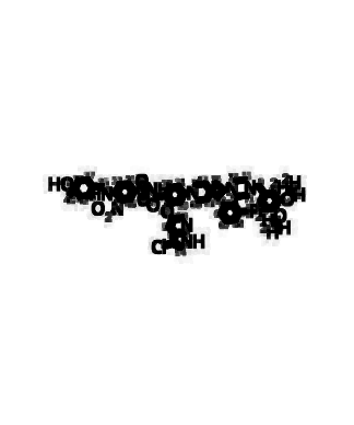 [2H]C([2H])([2H])Oc1ccc(CN2CCN(C3CC4(CCN(c5ccc(C(=O)NS(=O)(=O)c6ccc(NCC7CCC(C)(O)CC7)c([N+](=O)[O-])c6)c(Oc6cnc7[nH]cc(Cl)c7c6)c5)CC4)C3)[C@H](c3ccccc3C(C)C)C2)cc1OC([2H])([2H])[2H]